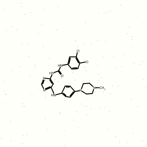 CN1CCN(c2ccc(Nc3cc(NC(=O)Nc4ccc(Cl)c(Cl)c4)ncn3)cc2)CC1